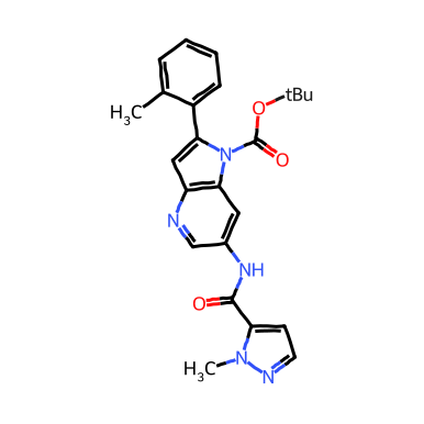 Cc1ccccc1-c1cc2ncc(NC(=O)c3ccnn3C)cc2n1C(=O)OC(C)(C)C